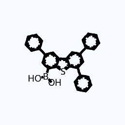 OB(O)c1cc(-c2ccccc2)cc2c1sc1c(-c3ccccc3)cc(-c3ccccc3)cc12